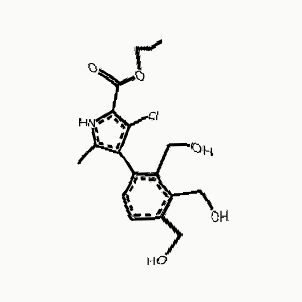 CCOC(=O)c1[nH]c(C)c(-c2ccc(CO)c(CO)c2CO)c1Cl